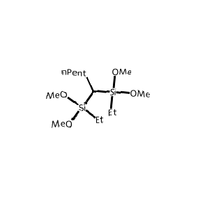 CCCCCC([Si](CC)(OC)OC)[Si](CC)(OC)OC